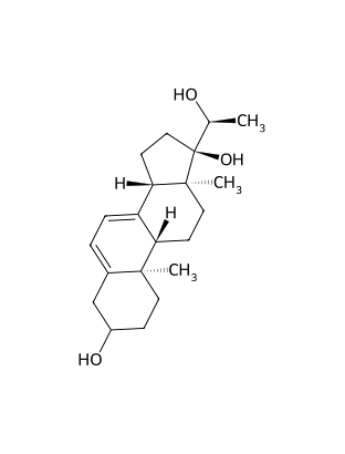 C[C@H](O)[C@@]1(O)CC[C@H]2C3=CC=C4CC(O)CC[C@]4(C)[C@H]3CC[C@@]21C